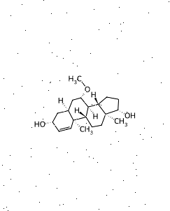 CO[C@H]1C[C@@H]2C[C@@H](O)C=C[C@]2(C)[C@H]2CC[C@]3(C)[C@@H](O)CC[C@H]3[C@H]12